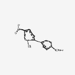 O=[N+]([O-])c1ccc(-c2ccc(O)cc2)c(Cl)c1